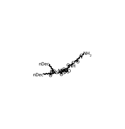 CCCCCCCCCCCCCCCC(=O)OCC(CSCC(N)C(=O)C(N)SC1CC(=O)N(CCC(=O)NCCOCCC(=O)CCC=NOCCN)C1=O)OC(=O)CCCCCCCCCCCCCCC